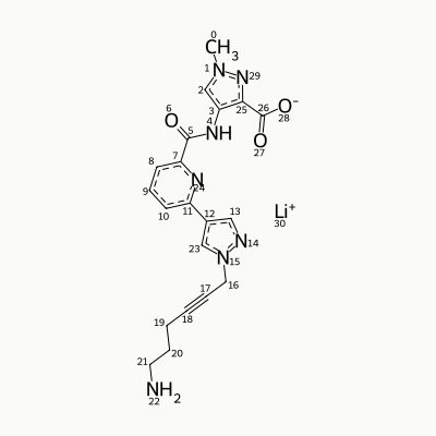 Cn1cc(NC(=O)c2cccc(-c3cnn(CC#CCCCN)c3)n2)c(C(=O)[O-])n1.[Li+]